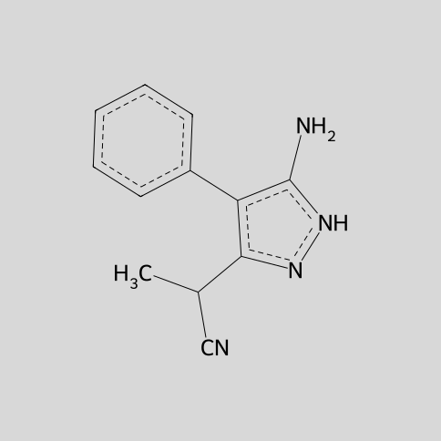 CC(C#N)c1n[nH]c(N)c1-c1ccccc1